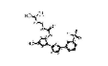 CCS(=O)(=O)c1cccc(-c2ccc(-c3cc(C)nn3CC(=O)OCSN(C)C)s2)c1